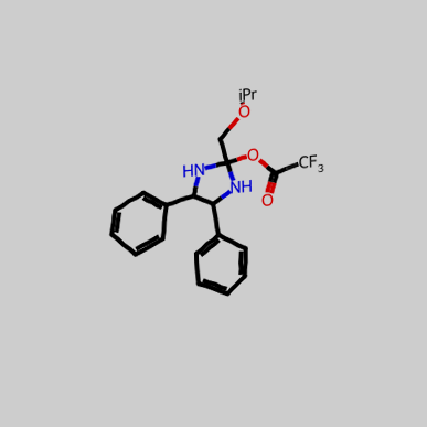 CC(C)OCC1(OC(=O)C(F)(F)F)NC(c2ccccc2)C(c2ccccc2)N1